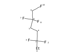 [CH2]CC(F)(F)CCC(F)(F)CF